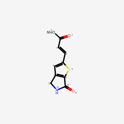 COC(=O)/C=C/c1cc2c(s1)C(=O)NC2